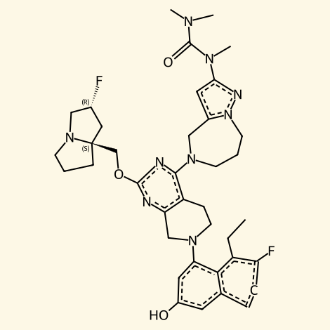 CCc1c(F)ccc2cc(O)cc(N3CCc4c(nc(OC[C@@]56CCCN5C[C@H](F)C6)nc4N4CCCn5nc(N(C)C(=O)N(C)C)cc5C4)C3)c12